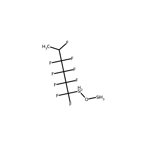 CC(F)C(F)(F)C(F)(F)C(F)(F)C(F)(F)[SiH2]O[SiH3]